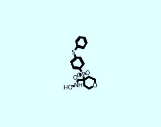 O=C(NO)C1(S(=O)(=O)c2ccc(Sc3ccccc3)cc2)CCOCC1